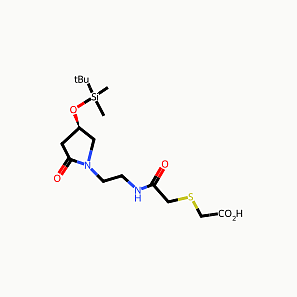 CC(C)(C)[Si](C)(C)O[C@@H]1CC(=O)N(CCNC(=O)CSCC(=O)O)C1